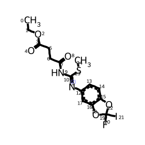 CCOC(=O)CCC(=O)N/C(=N/c1ccc2c(c1)OC(F)(I)O2)SC